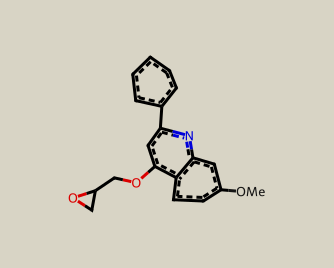 COc1ccc2c(OCC3CO3)cc(-c3ccccc3)nc2c1